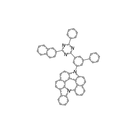 c1ccc(-c2cc(-c3nc(-c4ccccc4)nc(-c4ccc5ccccc5c4)n3)cc(-n3c4ccc5cccc6c5c4c4c5c(ccc7c8ccccc8n6c75)ccc43)c2)cc1